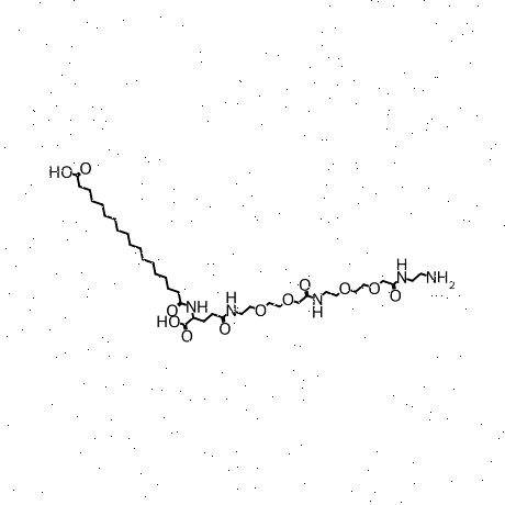 NCCNC(=O)COCCOCCNC(=O)COCCOCCNC(=O)CCC(NC(=O)CCCCCCCCCCCCCCCCC(=O)O)C(=O)O